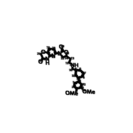 COc1ccc(-c2cccc(CNCCC3CN(c4ccc5c(n4)NC(=O)CO5)C(=O)O3)c2)cc1OC